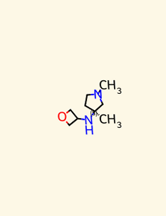 CN1CC[C@](C)(NC2COC2)C1